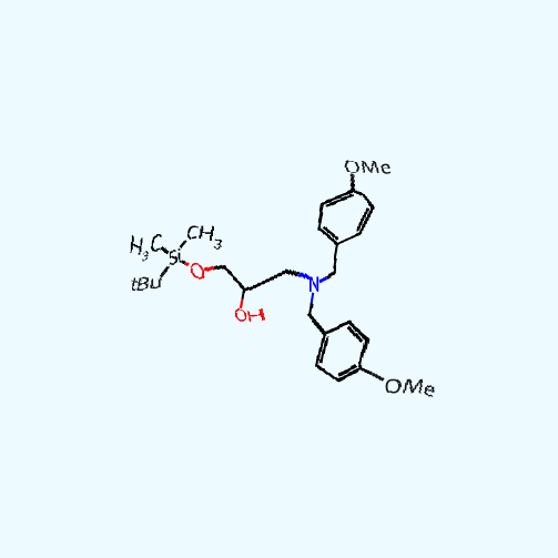 COc1ccc(CN(Cc2ccc(OC)cc2)CC(O)CO[Si](C)(C)C(C)(C)C)cc1